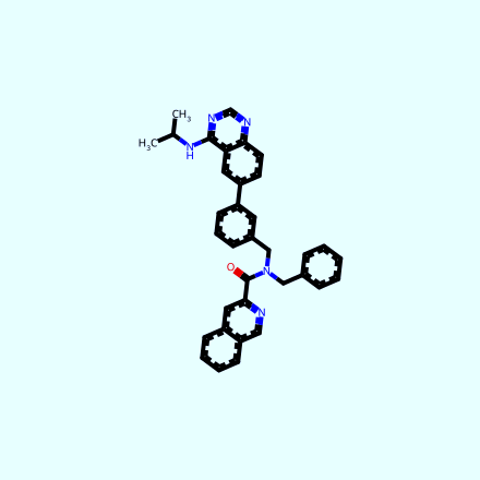 CC(C)Nc1ncnc2ccc(-c3cccc(CN(Cc4ccccc4)C(=O)c4cc5ccccc5cn4)c3)cc12